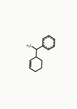 CC(c1ccccc1)C1C=CCCC1